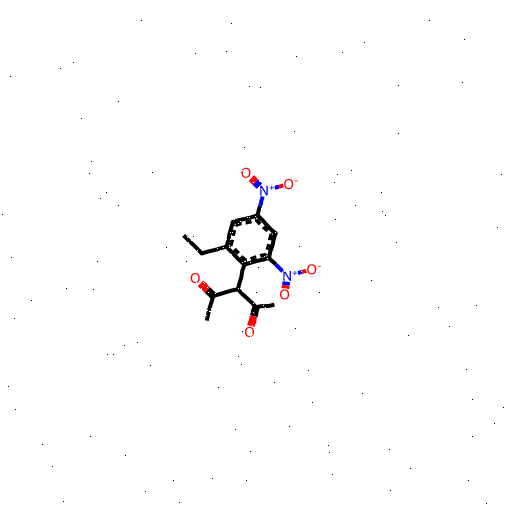 CCc1cc([N+](=O)[O-])cc([N+](=O)[O-])c1C(C(C)=O)C(C)=O